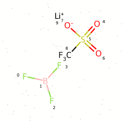 FB(F)F.O=S(=O)([O-])C(F)(F)F.[Li+]